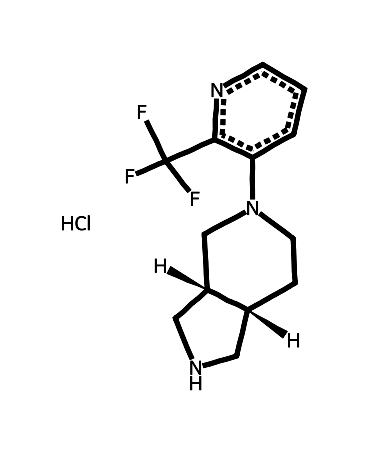 Cl.FC(F)(F)c1ncccc1N1CC[C@@H]2CNC[C@@H]2C1